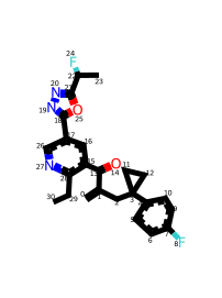 C=C(CC1(c2ccc(F)cc2)CC1)C(=O)c1cc(-c2nnc(C(C)F)o2)cnc1CC